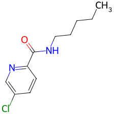 CCCCCNC(=O)c1ccc(Cl)cn1